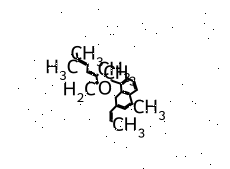 C=C(OC(C)c1cccc2c1CC(/C=C\C)=C=C2C)/C(C)=C/C=C(C)C